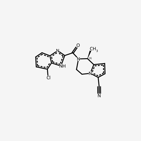 C[C@H]1c2ccc(C#N)n2CCN1C(=O)c1nc2cccc(Cl)c2[nH]1